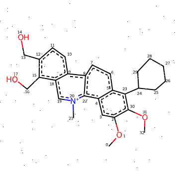 COc1cc2c(ccc3c4ccc(CO)c(CO)c4c[n+](C)c23)c(C2CCCCC2)c1OC